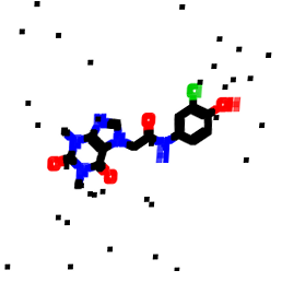 Cn1c(=O)c2c(ncn2CC(=O)Nc2ccc(O)c(Cl)c2)n(C)c1=O